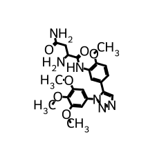 COc1ccc(-c2cnnn2-c2cc(OC)c(OC)c(OC)c2)cc1NC(=O)C(N)CC(N)=O